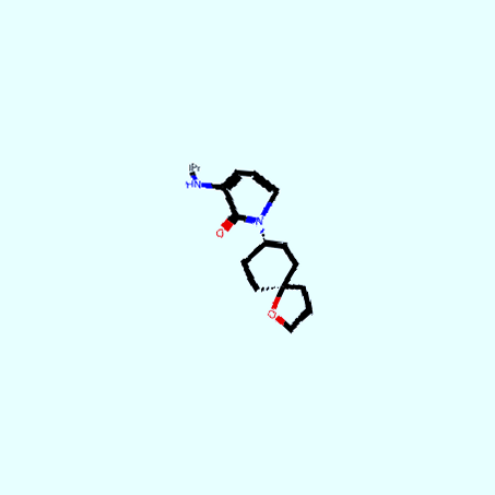 CC(C)Nc1cccn([C@H]2CC[C@@]3(CCCO3)CC2)c1=O